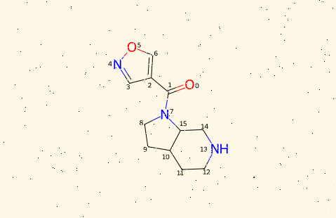 O=C(c1cnoc1)N1CCC2CCNCC21